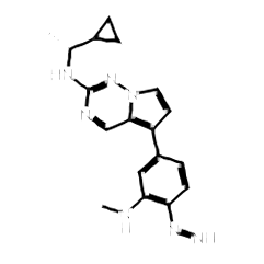 CNc1cc(-c2ccn3nc(N[C@H](C)C4CC4)ncc23)ccc1N=N